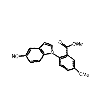 COC(=O)c1cc(OC)ccc1-n1ccc2cc(C#N)ccc21